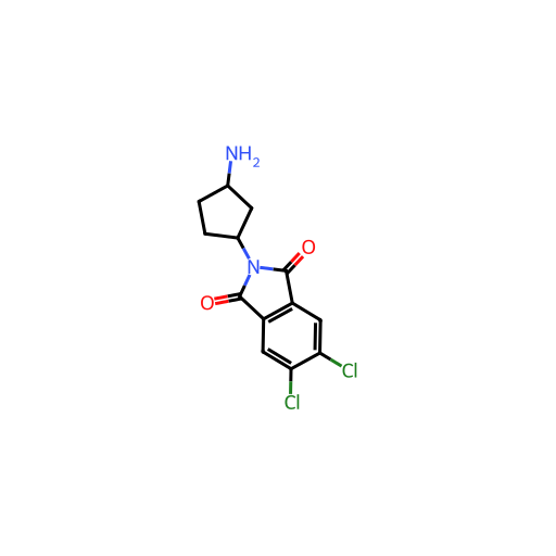 NC1CCC(N2C(=O)c3cc(Cl)c(Cl)cc3C2=O)C1